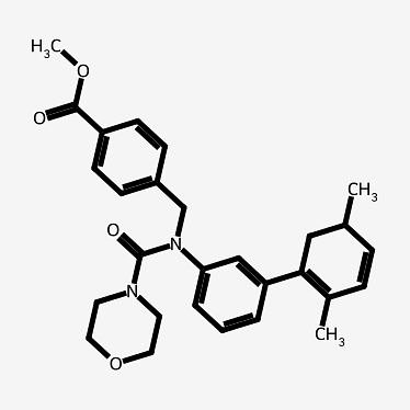 COC(=O)c1ccc(CN(C(=O)N2CCOCC2)c2cccc(C3=C(C)C=CC(C)C3)c2)cc1